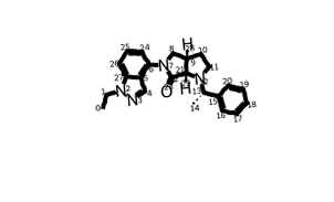 CCn1ncc2c(N3C[C@@H]4CCN([C@@H](C)c5ccccc5)[C@@H]4C3=O)cccc21